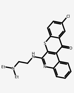 CCN(CC)CCNc1nc2ccccc2c2c(=O)c3cc(Cl)ccc3sc12